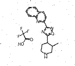 CC1CNCCC1c1nc(-c2ccc3ccccc3n2)no1.O=C(O)C(F)(F)F